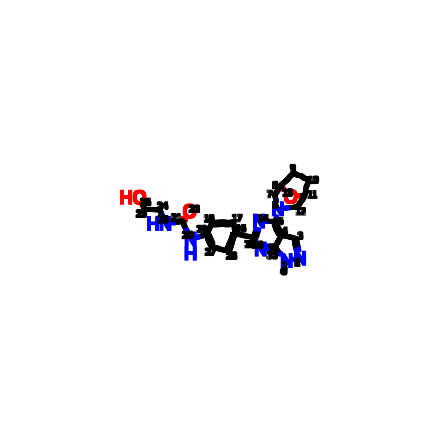 Cn1ncc2c(N3CC4CCC(C3)O4)nc(-c3ccc(NC(=O)NCCO)cc3)nc21